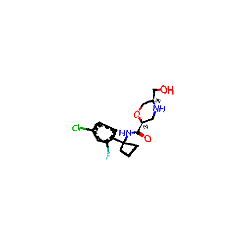 O=C(NC1(c2ccc(Cl)cc2F)CCC1)[C@@H]1CN[C@H](CO)CO1